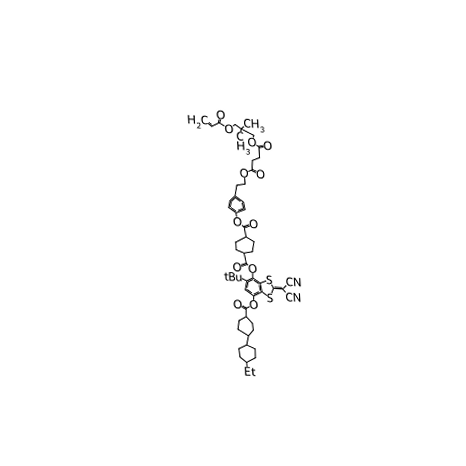 C=CC(=O)OCC(C)(C)COC(=O)CCC(=O)OCCc1ccc(OC(=O)C2CCC(C(=O)Oc3c(C(C)(C)C)cc(OC(=O)C4CCC(C5CCC(CC)CC5)CC4)c4c3SC(=C(C#N)C#N)S4)CC2)cc1